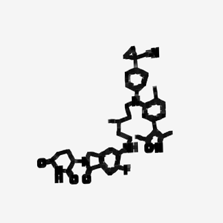 Cc1ccc(-c2c(C)noc2C)cc1N(CCC(C)CCNc1cc2c(cc1F)C(=O)N(C1CCC(=O)NC1=O)C2)c1ccc(C2(C#N)CC2)cc1